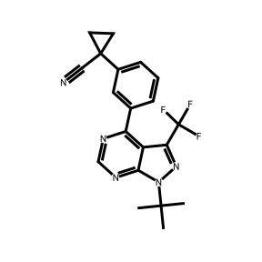 CC(C)(C)n1nc(C(F)(F)F)c2c(-c3cccc(C4(C#N)CC4)c3)ncnc21